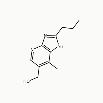 CCCc1nc2ncc(CO)c(C)c2[nH]1